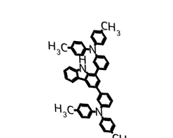 Cc1ccc(N(c2ccc(C)cc2)c2cccc(-c3cc(-c4cccc(N(c5ccc(C)cc5)c5ccc(C)cc5)c4)c4[nH]c5ccccc5c4c3)c2)cc1